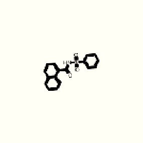 O=C(NS(=O)(=O)c1ccccc1)c1cccc2ccccc12